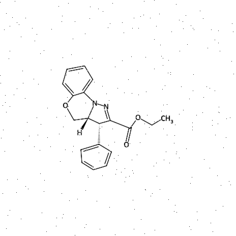 CCOC(=O)C1=NN2c3ccccc3OC[C@H]2[C@H]1c1ccccc1